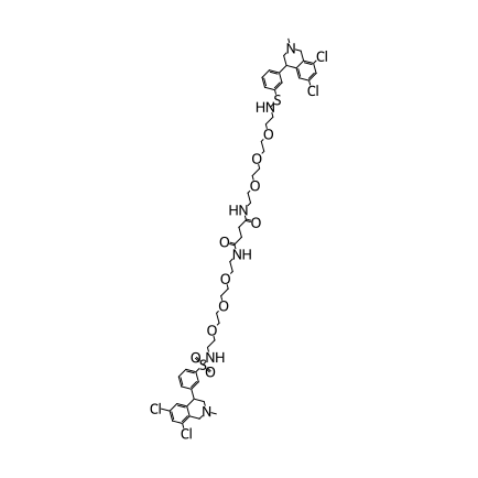 CN1Cc2c(Cl)cc(Cl)cc2C(c2cccc(SNCCOCCOCCOCCNC(=O)CCC(=O)NCCOCCOCCOCCNS(=O)(=O)c3cccc(C4CN(C)Cc5c(Cl)cc(Cl)cc54)c3)c2)C1